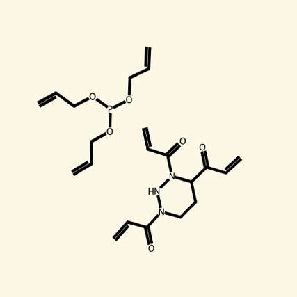 C=CC(=O)C1CCN(C(=O)C=C)NN1C(=O)C=C.C=CCOP(OCC=C)OCC=C